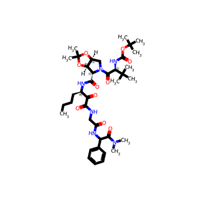 CCCC[C@@H](NC(=O)[C@@H]1[C@H]2OC(C)(C)O[C@H]2CN1C(=O)[C@@H](NC(=O)OC(C)(C)C)C(C)(C)C)C(=O)C(=O)NCC(=O)NC(C(=O)N(C)C)c1ccccc1